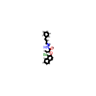 CCC(Oc1ccc2ccccc2c1Br)C(=O)NN=CC=Cc1ccccc1